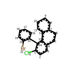 Clc1ccc2ccc3ccccc3c2c1-c1ccccc1Br